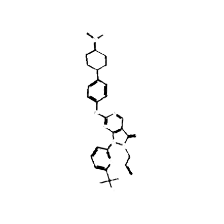 C=CCn1c(=O)c2cnc(Nc3ccc(C4CCC(N(C)CC)CC4)cc3)nc2n1-c1cccc(C(C)(C)O)n1